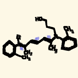 CC\[N+](=C(C)/C=C/C=C(\C)N(CCCO)c1ccccc1C)c1ccccc1C